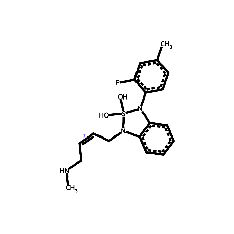 CNC/C=C\CN1c2ccccc2N(c2ccc(C)cc2F)S1(O)O